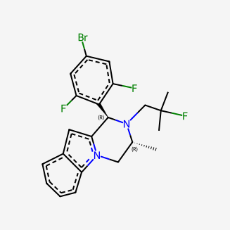 C[C@@H]1Cn2c(cc3ccccc32)[C@@H](c2c(F)cc(Br)cc2F)N1CC(C)(C)F